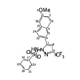 COc1ccc2cc(-c3cc(C(F)(F)F)nn3NS(=O)(=O)c3ccccc3)ccc2c1